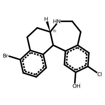 Oc1cc2c(cc1Cl)CCN[C@H]1CCc3c(Br)cccc3C21